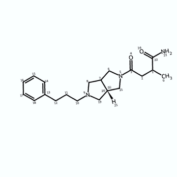 CC(CC(=O)N1CC2CN(CC[CH]c3ccccc3)C[C@H]2C1)C(N)=O